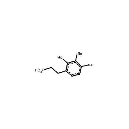 CCCCc1ccc(CCC(=O)O)c(O)c1CCCC